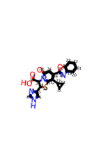 O=C(O)C1C(c2c[nH]cn2)Sc2c(C3CC3)c(-c3nc4ccccc4o3)cc(=O)n21